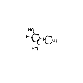 Cl.Oc1cc(N2CCNCC2)c(F)cc1F